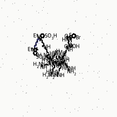 C=C(CCCC1(C)\C(=C/C=C/C=C/C2=[N+](CC)c3ccc(S(=O)(=O)O)cc3C2(C)C)N(CC)c2ccc(S(=O)(=O)O)cc21)NCCCC[C@@H](NC(=O)C(CCCNNC)NC(=O)[C@@H](CCCNC(=N)N)NC(=O)C(CCCNC(=N)N)NC(=O)[C@@H](CCCNC(=N)N)NC(=O)C(CCCNC(=N)N)NC(=O)[C@@H](CCCNC(=N)N)NC(=O)CCCCCNC(=O)[C@H]1C[C@H](O)CN1Cc1nc2c(sc3ccc(Br)cc32)c(=O)[nH]1)C(N)=O